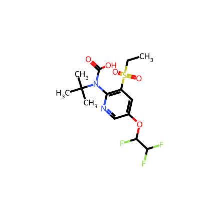 CCS(=O)(=O)c1cc(OC(F)C(F)F)cnc1N(C(=O)O)C(C)(C)C